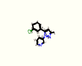 Cc1[c]c(-c2cccc(Cl)c2)n(-c2cccnc2)n1